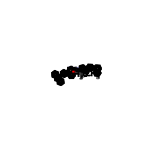 C=C(/C=C\C1=C2CC=CC=C2c2cc(N3c4ccccc4Cc4ccccc43)ccc21)/C=C/c1ccc2c(c1)C(C)(C)c1cc(N3CCCc4ccccc43)ccc1-2